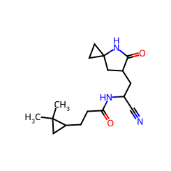 CC1(C)CC1CCC(=O)NC(C#N)CC1CC2(CC2)NC1=O